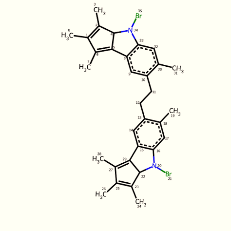 CC1=C(C)C2C(=C1C)c1cc(CCc3cc4c(cc3C)N(Br)C3C(C)=C(C)C(C)=C43)c(C)cc1N2Br